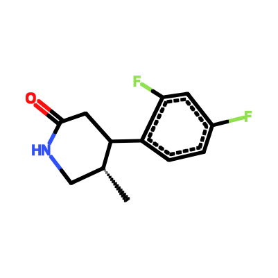 C[C@@H]1CNC(=O)CC1c1ccc(F)cc1F